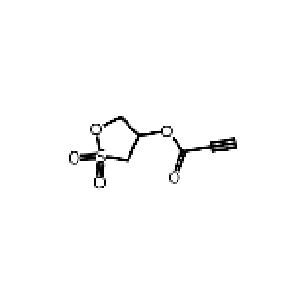 C#CC(=O)OC1COS(=O)(=O)C1